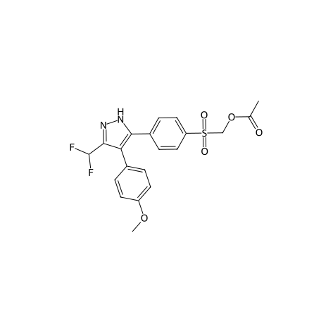 COc1ccc(-c2c(C(F)F)n[nH]c2-c2ccc(S(=O)(=O)COC(C)=O)cc2)cc1